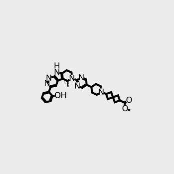 COC(=O)C1CC2(C1)CC(N1CCC(c3cnc(N4CCc5[nH]c6nnc(-c7ccccc7O)cc6c5[C@@H]4C)nc3)CC1)C2